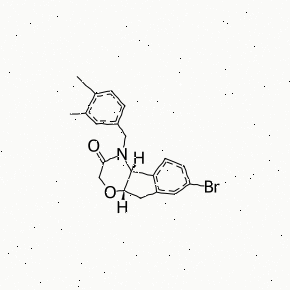 Cc1ccc(CN2C(=O)CO[C@H]3Cc4cc(Br)ccc4[C@H]32)cc1C